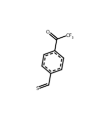 O=C(c1ccc(C=S)cc1)C(F)(F)F